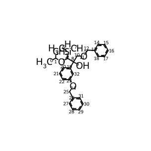 CC(C)OC([SiH](C)C)C(O)(COCc1ccccc1)c1cccc(OCc2ccccc2)c1